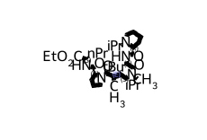 CCC[C@H](NC(=O)[C@@H]1CCCN1C(=O)/C(C)=C/[C@H](C(C)C)N(C)C(=O)[C@@H](NC(=O)[C@H]1CCCCN1C(C)C)C(C)(C)C)C(=O)OCC